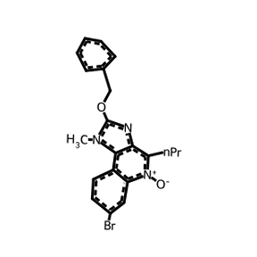 CCCc1c2nc(OCc3ccccc3)n(C)c2c2ccc(Br)cc2[n+]1[O-]